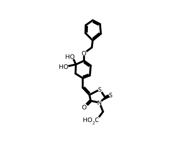 O=C(O)CN1C(=O)/C(=C/C2=CC=C(OCc3ccccc3)C(O)(O)C2)SC1=S